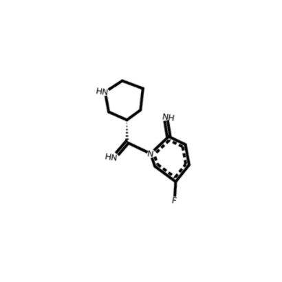 N=C([C@H]1CCCNC1)n1cc(F)ccc1=N